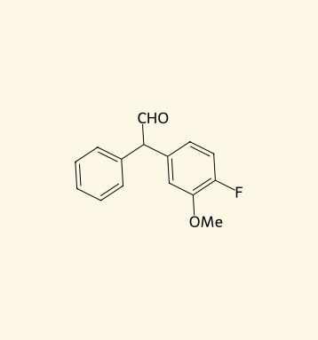 COc1cc(C(C=O)c2ccccc2)ccc1F